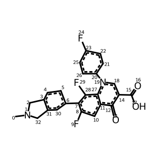 CN1Cc2ccc(-c3c(F)cc4c(=O)c(C(=O)O)cn(-c5ccc(F)cc5)c4c3F)cc2C1